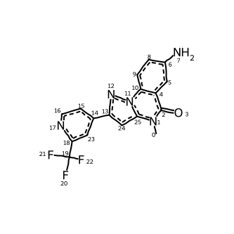 Cn1c(=O)c2cc(N)ccc2n2nc(-c3ccnc(C(F)(F)F)c3)cc12